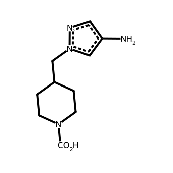 Nc1cnn(CC2CCN(C(=O)O)CC2)c1